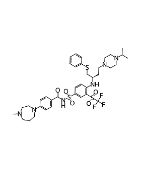 CC(C)N1CCN(CC[C@H](CSc2ccccc2)Nc2ccc(S(=O)(=O)NC(=O)c3ccc(N4CCCN(C)CC4)cc3)cc2S(=O)(=O)C(F)(F)F)CC1